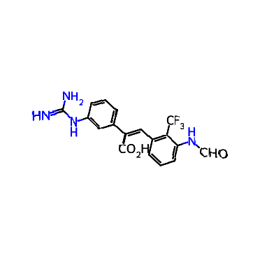 N=C(N)Nc1cccc(C(=Cc2cccc(NC=O)c2C(F)(F)F)C(=O)O)c1